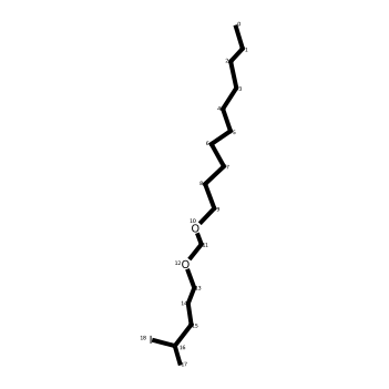 CCCCCCCCCCOCOCCCC(C)I